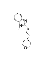 Cn1c(SCCN2CCOCC2)nc2ccccc21